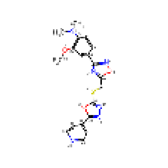 CN(C)c1ccc(-c2noc(CSc3nnc(-c4ccncc4)o3)n2)cc1OC(F)(F)F